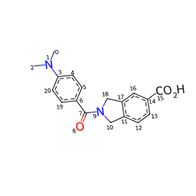 CN(C)c1ccc(C(=O)N2Cc3ccc(C(=O)O)cc3C2)cc1